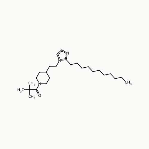 CCCCCCCCCCCc1nccn1CCC1CCN(C(=O)C(C)(C)C)CC1